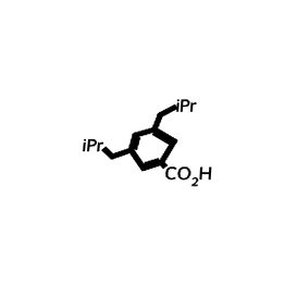 CC(C)Cc1cc(CC(C)C)cc(C(=O)O)c1